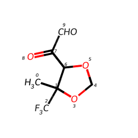 CC1(C(F)(F)F)OCOC1C(=O)C=O